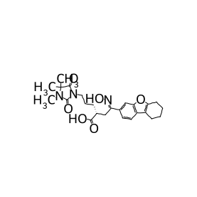 CN1C(=O)N(CCC[C@H](CC(=NO)c2ccc3c4c(oc3c2)CCCC4)C(=O)O)C(=O)C1(C)C